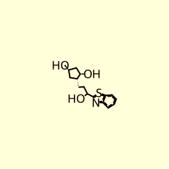 OC(CC[C@@H]1C[C@@H](O)C[C@H]1O)c1nc2ccccc2s1